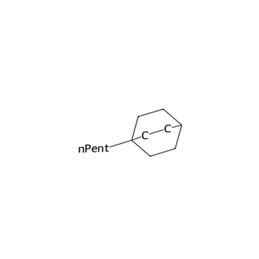 CCCCCC12CCC(CC1)CC2